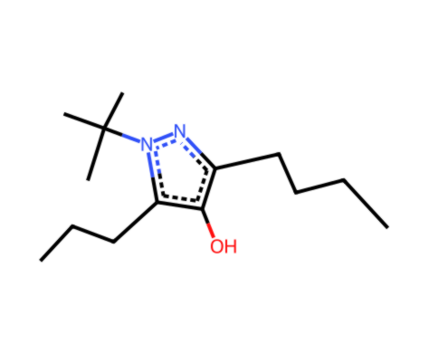 CCCCc1nn(C(C)(C)C)c(CCC)c1O